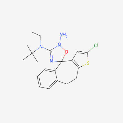 CCN(C1=NC2(ON1N)c1ccccc1CCc1sc(Cl)cc12)C(C)(C)C